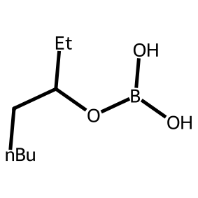 CCCCCC(CC)OB(O)O